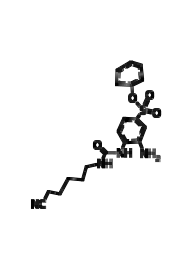 N#CCCCCCNC(=O)Nc1ccc(S(=O)(=O)Oc2ccccc2)cc1N